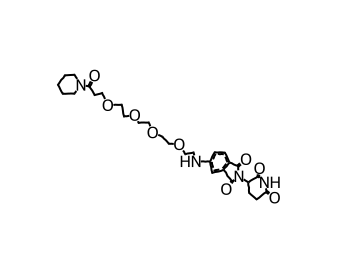 O=C1CCC(N2C(=O)c3ccc(NCCOCCOCCOCCOCCC(=O)N4CCCCC4)cc3C2=O)C(=O)N1